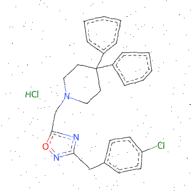 Cl.Clc1ccc(Cc2noc(CN3CCC(c4ccccc4)(c4ccccc4)CC3)n2)cc1